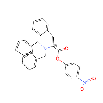 O=C(Oc1ccc([N+](=O)[O-])cc1)[C@H](Cc1ccccc1)N(Cc1ccccc1)Cc1ccccc1